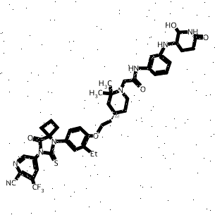 CCc1cc(N2C(=S)N(c3cnc(C#N)c(C(F)(F)F)c3)C(=O)C23CCC3)ccc1OCC[C@H]1CCN(CC(=O)Nc2cccc(NC3CCC(=O)NC3O)c2)C(C)(C)C1